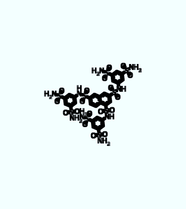 NS(=O)(=O)c1cc(NS(=O)(=O)c2ccc3c(S(=O)(=O)Nc4cc(S(N)(=O)=O)cc(S(N)(=O)=O)c4)cc(S(=O)(=O)Nc4cc(S(N)(=O)=O)cc(S(N)(=O)=O)c4)cc3c2)cc(S(N)(=O)=O)c1